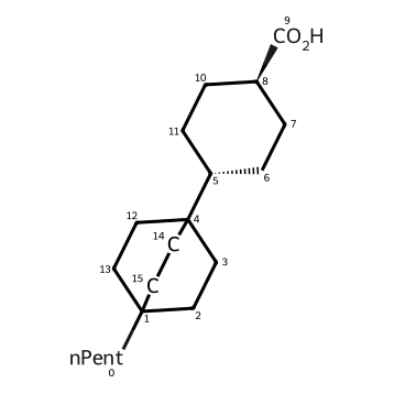 CCCCCC12CCC([C@H]3CC[C@H](C(=O)O)CC3)(CC1)CC2